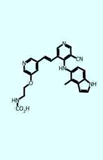 Cc1c(Nc2c(C#N)cncc2C=Cc2cncc(OCCNC(=O)O)c2)ccc2[nH]ccc12